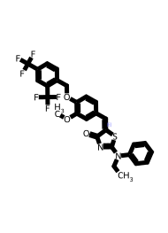 CCN(C1=NC(=O)/C(=C\c2ccc(OCc3ccc(C(F)(F)F)cc3C(F)(F)F)c(OC)c2)S1)c1ccccc1